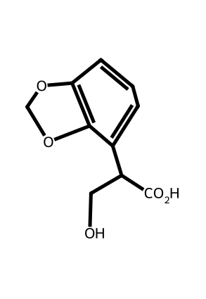 O=C(O)C(CO)c1cccc2c1OCO2